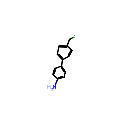 Nc1ccc(-c2ccc(CCl)cc2)cc1